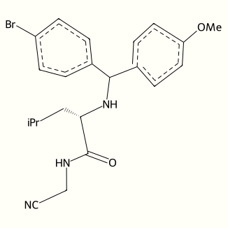 COc1ccc(C(N[C@@H](CC(C)C)C(=O)NCC#N)c2ccc(Br)cc2)cc1